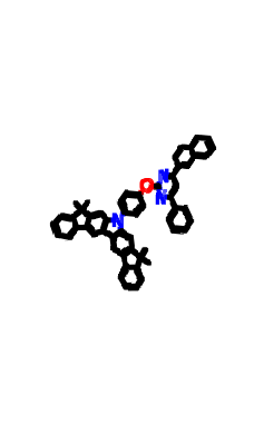 CC1(C)c2ccccc2-c2cc3c4cc5c(cc4n(-c4ccc(Oc6nc(-c7ccccc7)cc(-c7ccc8ccccc8c7)n6)cc4)c3cc21)C(C)(C)c1ccccc1-5